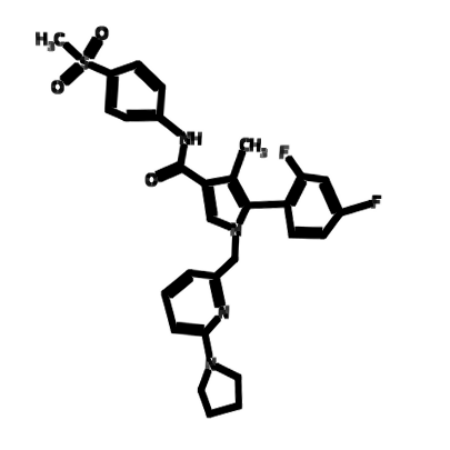 Cc1c(C(=O)Nc2ccc(S(C)(=O)=O)cc2)cn(Cc2cccc(N3CCCC3)n2)c1-c1ccc(F)cc1F